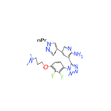 CCCn1cc(-c2cnc(N)c(-c3nnnn3-c3ccc(OCCCN(C)C)c(F)c3F)c2)cn1